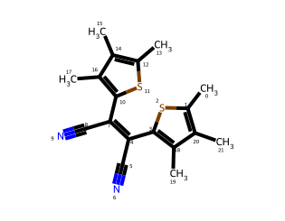 Cc1sc(/C(C#N)=C(/C#N)c2sc(C)c(C)c2C)c(C)c1C